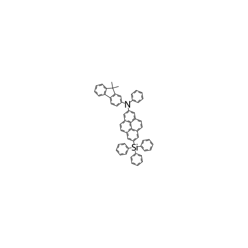 CC1(C)c2ccccc2-c2ccc(N(c3ccccc3)c3cc4ccc5cc([Si](c6ccccc6)(c6ccccc6)c6ccccc6)cc6ccc(c3)c4c56)cc21